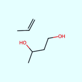 C=CC.CC(O)CCO